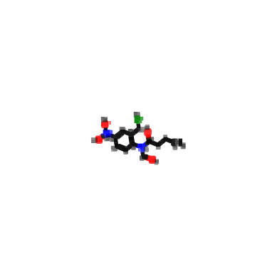 CCCC(=O)N(C=O)c1ccc([N+](=O)[O-])cc1CBr